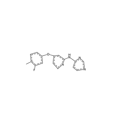 Cc1ccc(Oc2ccnc(Nc3ccncn3)c2)cc1F